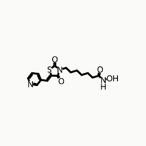 O=C(CCCCCCN1C(=O)S/C(=C\c2cccnc2)C1=O)NO